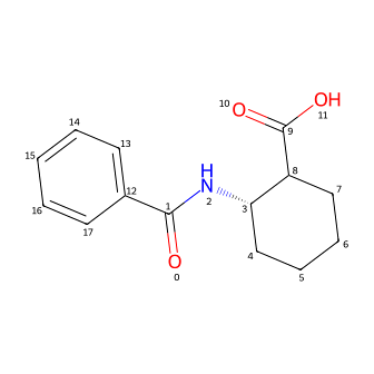 O=C(N[C@H]1CCCCC1C(=O)O)c1ccccc1